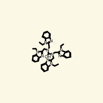 CCn1c(CN(Cc2nc3ccccc3n2CC)C(O)N(Cc2nc3ccccc3n2CC)Cc2nc3ccccc3n2CC)nc2ccccc21